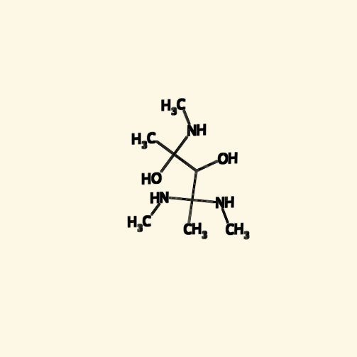 CNC(C)(O)C(O)C(C)(NC)NC